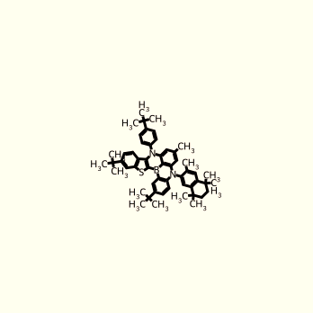 Cc1cc2c3c(c1)N(c1ccc(C(C)(C)C)cc1)c1c(sc4cc(C(C)(C)C)ccc14)B3c1cc(C(C)(C)C)ccc1N2c1cc2c(cc1C)C(C)(C)CCC2(C)C